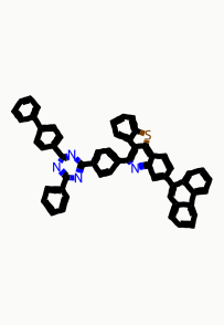 c1ccc(-c2ccc(-c3nc(-c4ccccc4)nc(-c4ccc(-c5nc6cc(-c7cc8ccccc8c8ccccc78)ccc6c6sc7ccccc7c56)cc4)n3)cc2)cc1